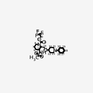 CS(=O)(=O)N[C@H]1CCCN(C(=O)OCC(F)(F)F)[C@H]1COC1CCN(c2ccccc2)CC1